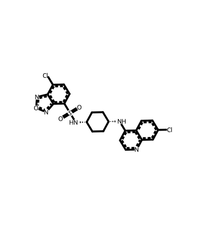 O=S(=O)(N[C@H]1CC[C@@H](Nc2ccnc3cc(Cl)ccc23)CC1)c1ccc(Cl)c2nonc12